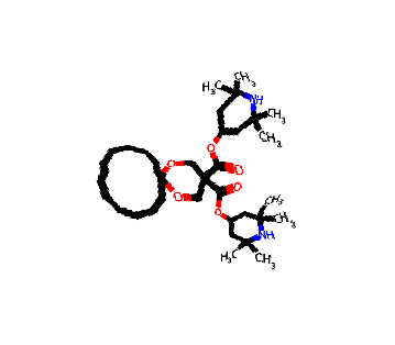 CC1(C)CC(OC(=O)C2(C(=O)OC3CC(C)(C)NC(C)(C)C3)COC3(CCCCCCCCCCC3)OC2)CC(C)(C)N1